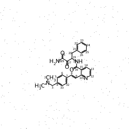 CN(C)Cc1ccc(/C=C/c2ncccc2C(=O)NC(Cc2ccccc2)C(=O)C(N)=O)cc1